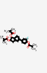 C=C(C)C(=O)Oc1ccc(-c2ccc3c(c2)CC(OC(=O)C(=C)C)C3OC(=O)C(=C)C)cc1F